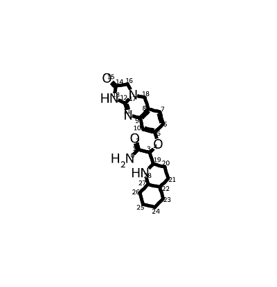 NC(=O)C(Oc1ccc2c(c1)N=C1NC(=O)CN1C2)C1CCC2CCCCC2N1